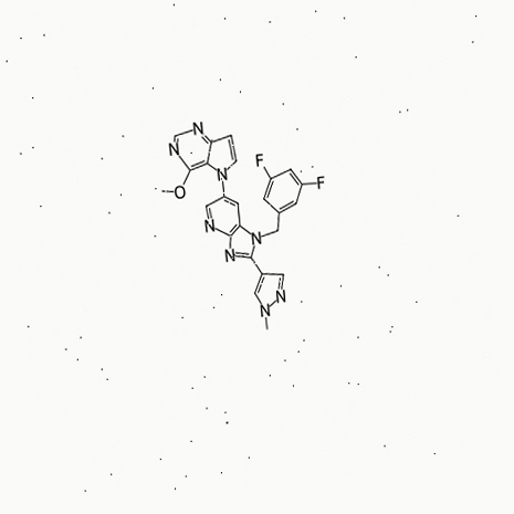 COc1ncnc2ccn(-c3cnc4nc(-c5cnn(C)c5)n(Cc5cc(F)cc(F)c5)c4c3)c12